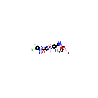 CC1(C)OC[C@@H](Cn2cc(-c3ccc(NC(=O)N4CCC(C(=O)C(=N)Nc5ccc(F)c(Br)c5)CC4)cc3)cn2)O1